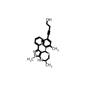 Cc1cc(C#CCCO)ccc1[C@H]1SC[C@@H](C)Nc2c1c(-c1ccccn1)nn2C